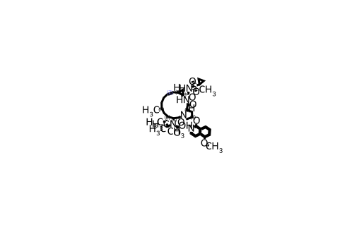 CC[C@@H]1C[C@H](C)CC/C=C\[C@@H]2C[C@@]2(C(=O)NS(=O)(=O)C2(C)CC2)NC(=O)[C@@H]2C[C@@H](Oc3nccc4c(OC)cccc34)CN2C(=O)[C@H]1N(C(=O)O)C(C)(C)C